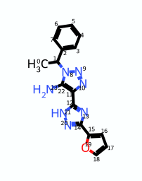 CC(c1ccccc1)n1nnc(-c2nc(-c3ccco3)n[nH]2)c1N